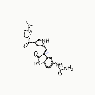 CN(C)[C@@H]1CCN(C(=O)c2c[nH]c(/C=C3\C(=O)Nc4ccc(NC(N)=O)cc43)c2)C1